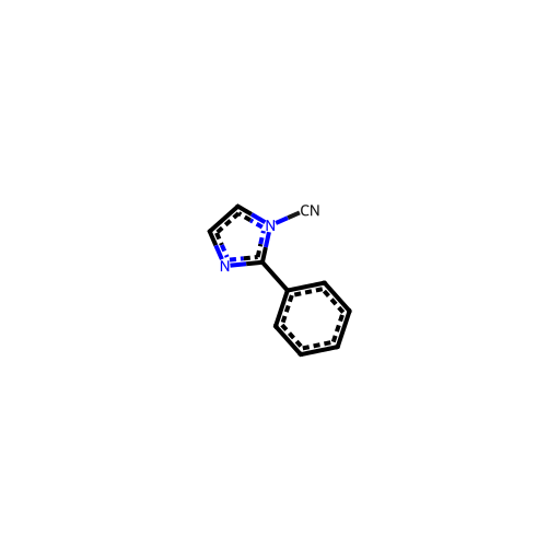 N#Cn1ccnc1-c1ccccc1